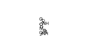 C=CC(=O)Nc1cc(-c2cc3c(ccc4c5c([nH]c43)CCC5=O)cn2)ccn1